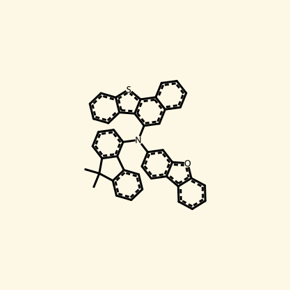 CC1(C)c2ccccc2-c2c(N(c3ccc4c(c3)oc3ccccc34)c3cc4ccccc4c4sc5ccccc5c34)cccc21